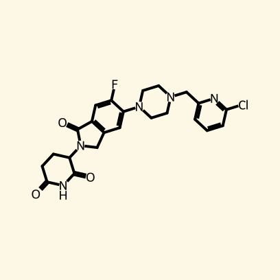 O=C1CCC(N2Cc3cc(N4CCN(Cc5cccc(Cl)n5)CC4)c(F)cc3C2=O)C(=O)N1